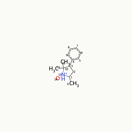 CC1CC(c2ccccc2)C(C)(C)[NH+]1[O-]